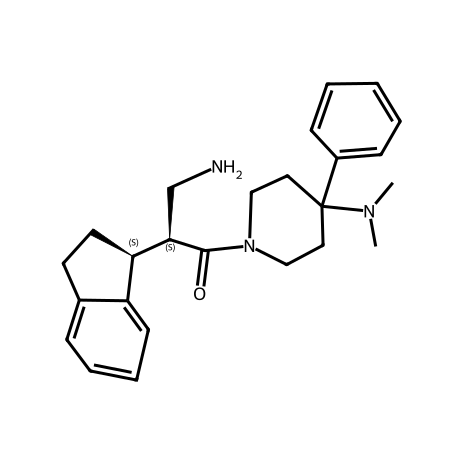 CN(C)C1(c2ccccc2)CCN(C(=O)[C@H](CN)[C@@H]2CCc3ccccc32)CC1